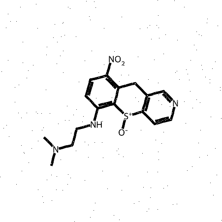 CN(C)CCNc1ccc([N+](=O)[O-])c2c1[S+]([O-])c1ccncc1C2